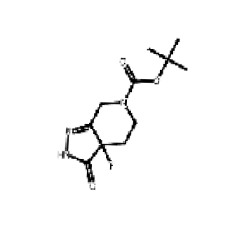 CC(C)(C)OC(=O)N1CCC2(F)C(=O)NN=C2C1